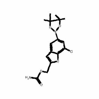 CC1(C)OB(c2cc(Cl)c3oc(COC(N)=O)cc3c2)OC1(C)C